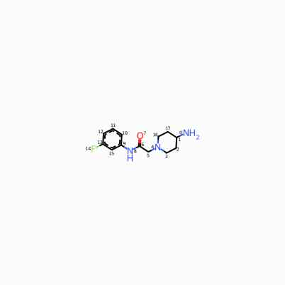 NC1CCN(CC(=O)Nc2cccc(F)c2)CC1